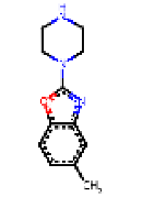 Cc1ccc2oc(N3CCNCC3)nc2c1